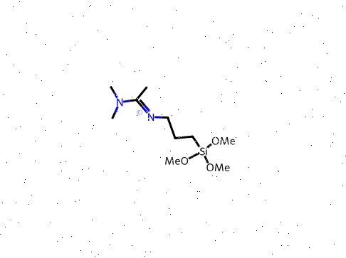 CO[Si](CCC/N=C(\C)N(C)C)(OC)OC